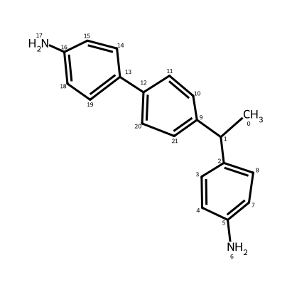 CC(c1ccc(N)cc1)c1ccc(-c2ccc(N)cc2)cc1